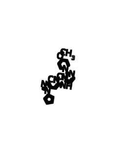 C=N/C(=C\c1c(C)ncn1C1CCCC1)Nc1ccnc(N2CCC(OC)CC2)n1